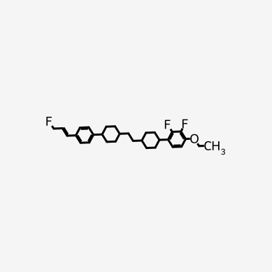 CCOc1ccc(C2CCC(CCC3CCC(c4ccc(/C=C/CF)cc4)CC3)CC2)c(F)c1F